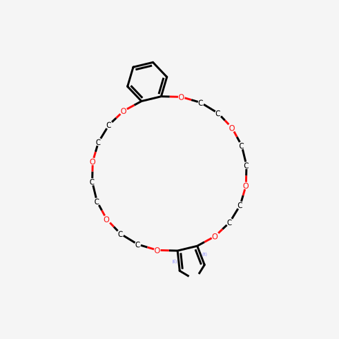 C/C=C1/OCCOCCOCCOc2ccccc2OCCOCCOCCO/C1=C/C